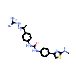 CNc1nc(-c2ccc(NC(=O)Nc3ccc(/C(C)=N/NC(=N)N)cc3)cc2)cs1